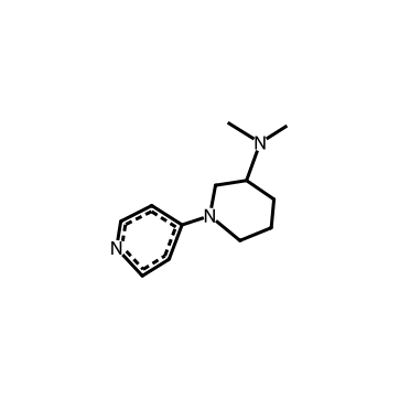 CN(C)C1CCCN(c2ccncc2)C1